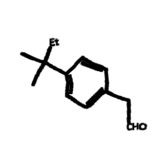 CCC(C)(C)c1ccc(CC=O)cc1